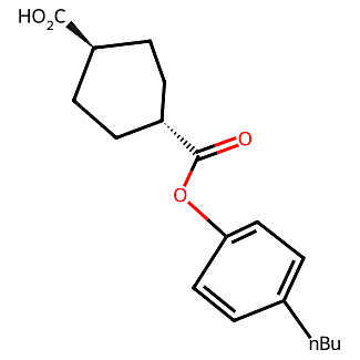 CCCCc1ccc(OC(=O)[C@H]2CC[C@H](C(=O)O)CC2)cc1